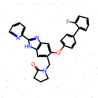 O=C1CCCN1Cc1cc2[nH]c(-c3ccccn3)nc2cc1Oc1ccc(-c2ccccc2F)cc1